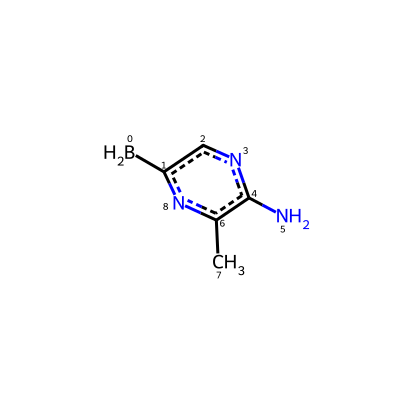 Bc1cnc(N)c(C)n1